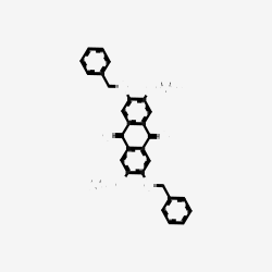 COc1cc2c(cc1OCc1ccccc1)C(=O)c1cc(OC)c(OCc3ccccc3)cc1C2=O